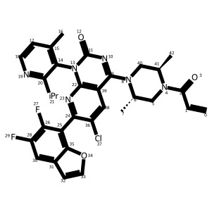 C=CC(=O)N1C[C@H](C)N(c2nc(=O)n(-c3c(C)ccnc3C(C)C)c3nc(-c4c(F)c(F)cc5ccoc45)c(Cl)cc23)C[C@H]1C